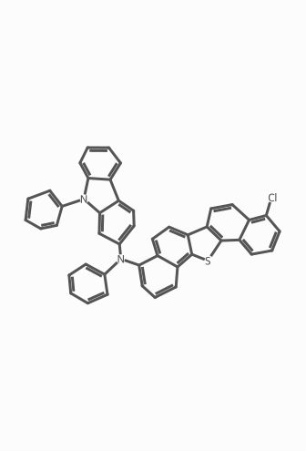 Clc1cccc2c1ccc1c3ccc4c(N(c5ccccc5)c5ccc6c7ccccc7n(-c7ccccc7)c6c5)cccc4c3sc21